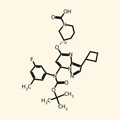 Cc1cc(F)cc(N(C(=O)OC(C)(C)C)c2cc(O[C@H]3CCCN(C(=O)O)C3)nc3c(C4CCC4)cnn23)c1